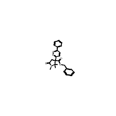 CN1C(=O)CC(C(=O)OCc2ccccc2)(c2ccc(-c3ccccc3)nn2)C1(C)C